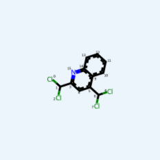 ClC(Cl)c1cc(C(Cl)Cl)c2ccccc2n1